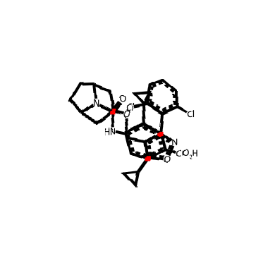 O=C(O)c1ccc(NC(=O)N2C3CCC2CC(OCc2c(-c4c(Cl)cccc4Cl)noc2C2CC2)C3)c(C2CC2)c1